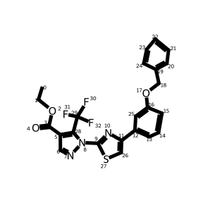 CCOC(=O)c1cnn(-c2nc(-c3cccc(OCc4ccccc4)c3)cs2)c1C(F)(F)F